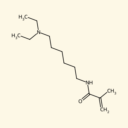 C=C(C)C(=O)NCCCCCCN(CC)CC